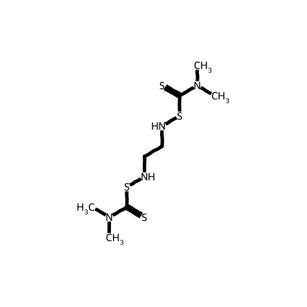 CN(C)C(=S)SNCCNSC(=S)N(C)C